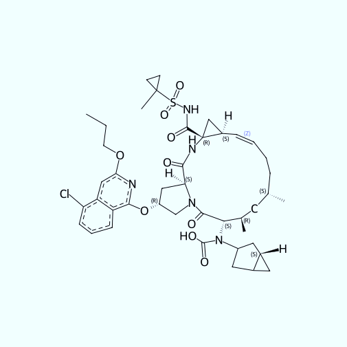 CCCOc1cc2c(Cl)cccc2c(O[C@@H]2C[C@H]3C(=O)N[C@]4(C(=O)NS(=O)(=O)C5(C)CC5)C[C@H]4/C=C\CC[C@H](C)C[C@@H](C)[C@H](N(C(=O)O)C4CC5C[C@H]5C4)C(=O)N3C2)n1